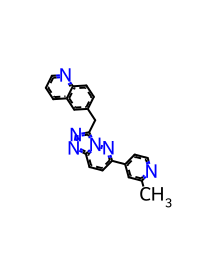 Cc1cc(-c2ccc3nnc(Cc4ccc5ncccc5c4)n3n2)ccn1